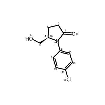 O=C1CC[C@H](CO)N1c1ccc(Cl)cc1